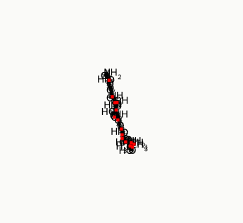 CC(C)(CS(=O)(=O)O)C(C)(N)CC(=O)NS(=O)(=O)CCCC(=O)NCCOCCOCC(=O)N[C@@H](CCC(=O)N[C@H](CCC(=O)NCCOCCOCC(=O)NCC(N)=O)C(=O)O)C(=O)O